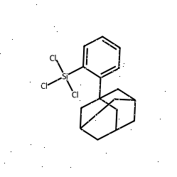 Cl[Si](Cl)(Cl)c1ccccc1C12CC3CC(CC(C3)C1)C2